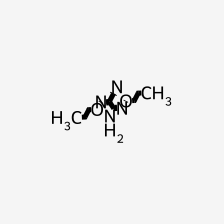 CCCO/N=C(C#N)\C(N)=N/OCCC